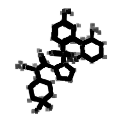 Cc1ccc(S(=O)(=O)N2CCC[C@H]2C(=O)N(C)C2CCC(F)(F)CC2)c(N2[C@@H](C)CCC[C@@H]2C)n1